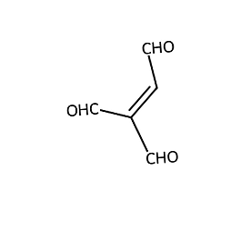 O=CC=C(C=O)C=O